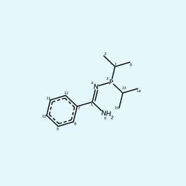 CC(C)P(N=C(N)c1ccccc1)C(C)C